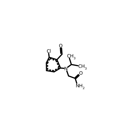 CC(C)N(CC(N)=O)c1cccc(Cl)c1C=O